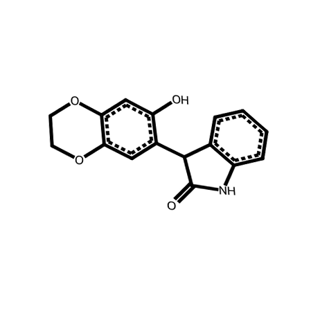 O=C1Nc2ccccc2C1c1cc2c(cc1O)OCCO2